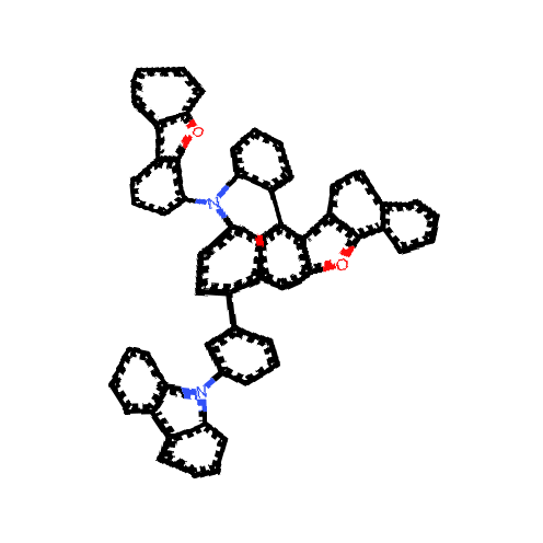 c1cc(-c2ccc(N(c3ccccc3-c3cccc4oc5c6ccccc6ccc5c34)c3cccc4c3oc3ccccc34)cc2)cc(-n2c3ccccc3c3ccccc32)c1